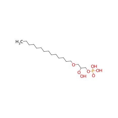 CCCCCCCCCCCCCCOCC(COP(=O)(O)O)OO